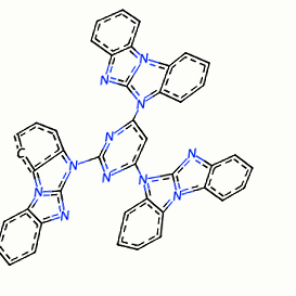 c1ccc2c(c1)nc1n(-c3cc(-n4c5ccccc5n5c6ccccc6nc45)nc(-n4c5ccccc5n5c6ccccc6nc45)n3)c3ccccc3n21